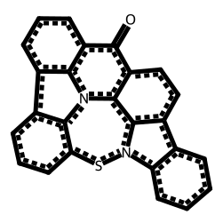 O=c1c2cccc3c4cccc5sn6c7ccccc7c7ccc1c(c76)n(c54)c23